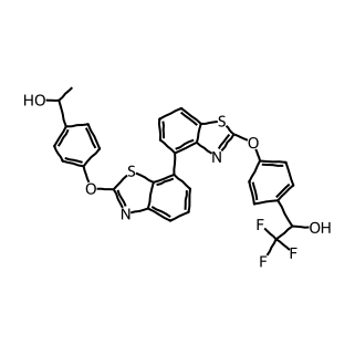 CC(O)c1ccc(Oc2nc3cccc(-c4cccc5sc(Oc6ccc(C(O)C(F)(F)F)cc6)nc45)c3s2)cc1